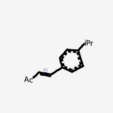 CC(=O)/C=C/c1ccc(C(C)C)cc1